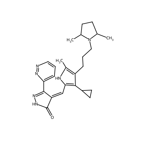 Cc1[nH]c(/C=C2/C(=O)NN=C2c2cccnn2)c(C2CC2)c1CCCN1C(C)CCC1C